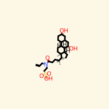 C=CCN(CCS(=O)(=O)O)C(=O)CC[C@@H](C)[C@H]1CC[C@H]2[C@@H]3[C@@H](O)CC4C[C@H](O)CC[C@]4(C)[C@H]3CC[C@]12C